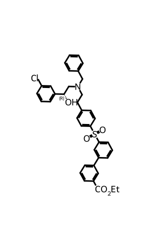 CCOC(=O)c1cccc(-c2cccc(S(=O)(=O)c3ccc(CCN(Cc4ccccc4)C[C@H](O)c4cccc(Cl)c4)cc3)c2)c1